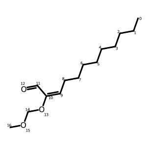 CCCCCCCCC/C=C(\C=O)OCOC